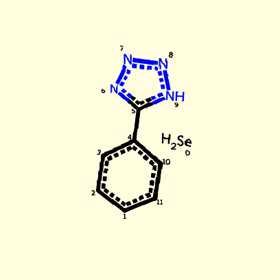 [SeH2].c1ccc(-c2nnn[nH]2)cc1